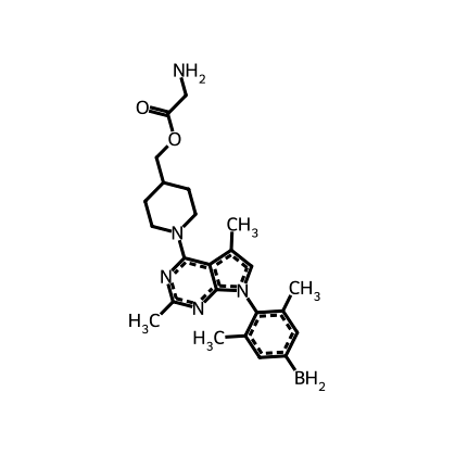 Bc1cc(C)c(-n2cc(C)c3c(N4CCC(COC(=O)CN)CC4)nc(C)nc32)c(C)c1